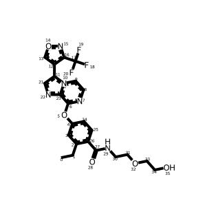 CCc1cc(Oc2nccn3c(-c4conc4C(F)(F)F)cnc23)ccc1C(=O)NCCOCCO